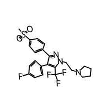 CS(=O)(=O)c1ccc(-c2nn(CCN3CCCC3)c(C(F)(F)F)c2-c2ccc(F)cc2)cc1